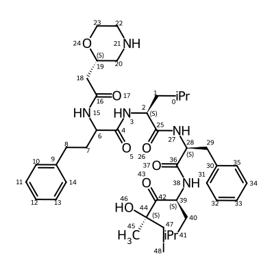 CC(C)C[C@H](NC(=O)C(CCc1ccccc1)NC(=O)C[C@H]1CNCCO1)C(=O)N[C@@H](Cc1ccccc1)C(=O)N[C@@H](CC(C)C)C(=O)[C@](C)(O)CI